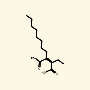 CCCCCCCC/C(C(=O)O)=C(\CC)C(=O)O